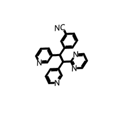 N#Cc1cccc(C(c2cccnc2)C(c2cccnc2)c2ncccn2)c1